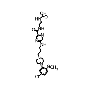 COc1ccc(Cl)cc1N1CCN(CCCNc2cnc(C(=O)NCCNC(=O)O)cn2)CC1